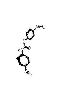 Nc1ccc(OC(=O)Oc2ccc(N)cc2)cc1